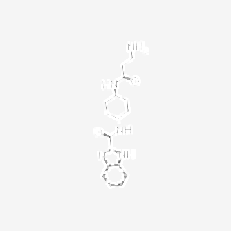 NCCC(=O)N[C@H]1CC[C@H](NC(=O)c2nc3ccccc3[nH]2)CC1